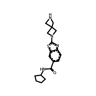 O=C(NC1CCCC1)c1ccc2nc(N3CC4(CNC4)C3)sc2c1